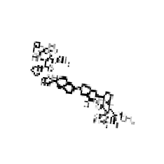 COC(=O)N[C@H](C(=O)N1CCCC1c1cc2ccc(-c3ccc4cc(-c5cnc([C@@H]6CCCN6C(=O)[C@@H](NC(=O)OC)[C@@H](C)OC)[nH]5)ccc4c3)cc2c(=O)[nH]1)[C@@H](C)OC